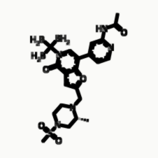 BC(B)(B)n1cc(-c2ccnc(NC(C)=O)c2)c2oc(CN3CCN(S(C)(=O)=O)C[C@H]3C)cc2c1=O